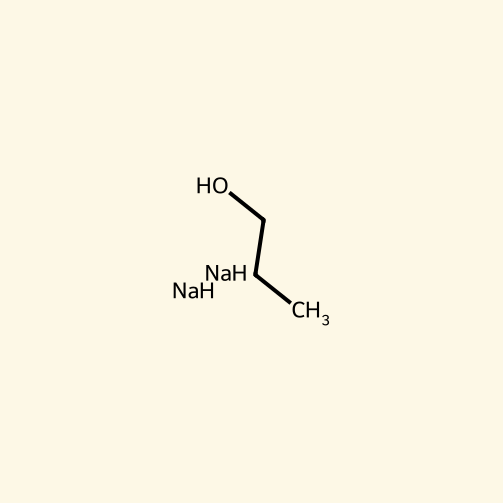 CCCO.[NaH].[NaH]